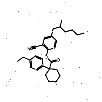 CCCCC(C)Cc1ccc(OC(=O)C2(c3ccc(CC)cc3)CCCCC2)c(C#N)c1